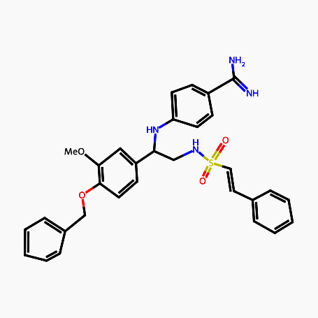 COc1cc(C(CNS(=O)(=O)C=Cc2ccccc2)Nc2ccc(C(=N)N)cc2)ccc1OCc1ccccc1